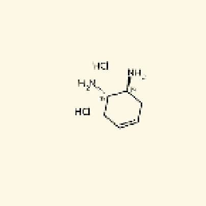 Cl.Cl.N[C@H]1CC=CC[C@@H]1N